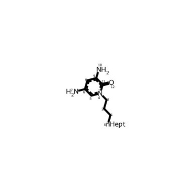 CCCCCCCCCCn1cc(N)cc(N)c1=O